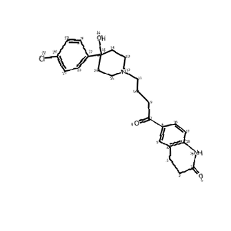 O=C1CCc2cc(C(=O)CCCN3CCC(O)(c4ccc(Cl)cc4)CC3)ccc2N1